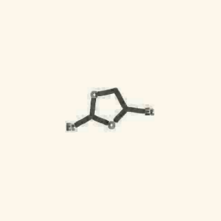 CCC1COC(CC)O1